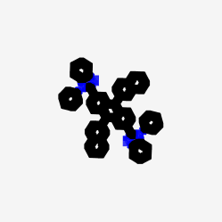 c1ccc(-n2c(-c3ccc4c(-c5ccc6ccccc6c5)c5cc(-c6nc7ccccc7n6-c6ccccc6)ccc5c(-c5ccc6ccccc6c5)c4c3)nc3ccccc32)cc1